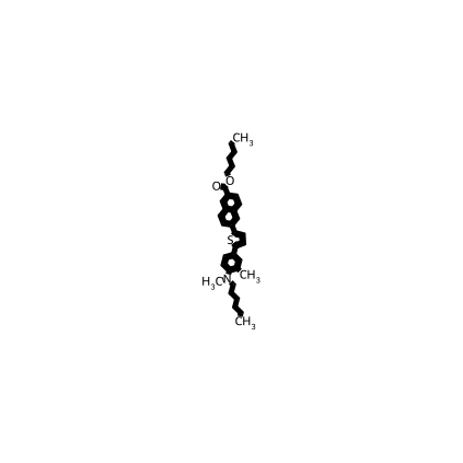 CCCCCCOC(=O)c1ccc2cc(-c3ccc(-c4ccc(N(C)CCCCCC)c(C)c4)s3)ccc2c1